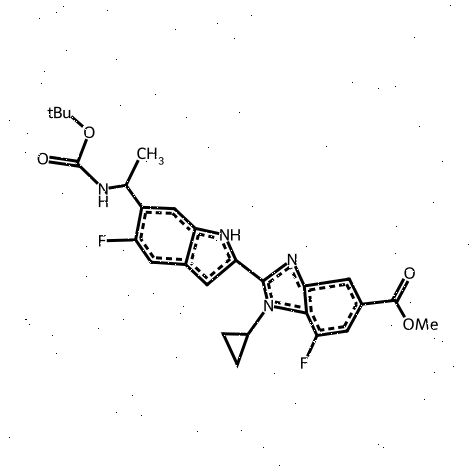 COC(=O)c1cc(F)c2c(c1)nc(-c1cc3cc(F)c(C(C)NC(=O)OC(C)(C)C)cc3[nH]1)n2C1CC1